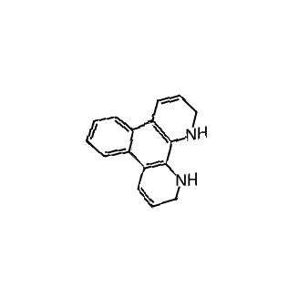 C1=Cc2c(c3c(c4ccccc24)C=CCN3)NC1